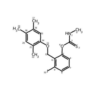 CNC(=S)Oc1cccc(I)c1COc1cc(C)c(C)cc1C